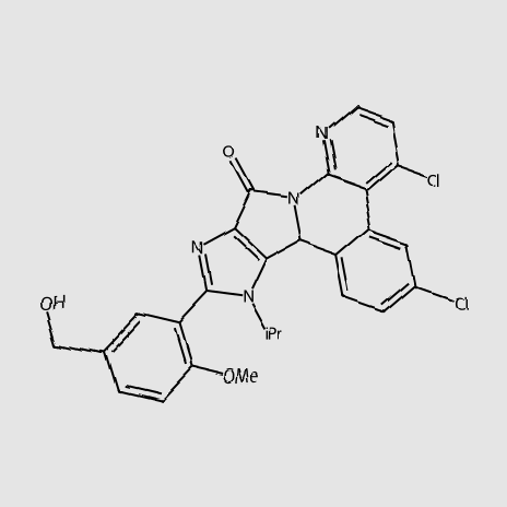 COc1ccc(CO)cc1-c1nc2c(n1C(C)C)C1c3ccc(Cl)cc3-c3c(Cl)ccnc3N1C2=O